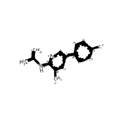 C=C(C)Nc1ncc(-c2ccc(Cl)cc2)cc1C